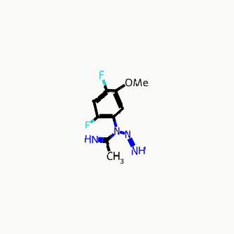 COc1cc(N(N=N)C(C)=N)c(F)cc1F